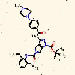 CCc1cccc(CC)c1NC(=O)N1Cc2c([AsH]C(=O)c3ccc(N4CCN(C)CC4)cc3)nn(C(=O)OC(C)(C)C)c2C1